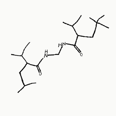 CC(C)CC(C(=O)NCNC(=O)C(CC(C)(C)C)C(C)C)C(C)C